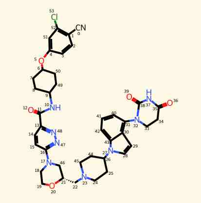 N#Cc1ccc(OC2CCC(NC(=O)c3ccc(N4CCO[C@@H](CN5CCC(n6ccc7c(N8CCC(=O)NC8=O)cccc76)CC5)C4)nn3)CC2)cc1Cl